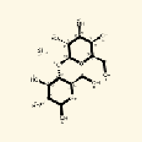 OC[C@H]1O[C@@H](O[C@H]2[C@H](O)[C@@H](O)C(O)O[C@@H]2CO)[C@H](O)[C@@H](O)[C@H]1O.[SiH4]